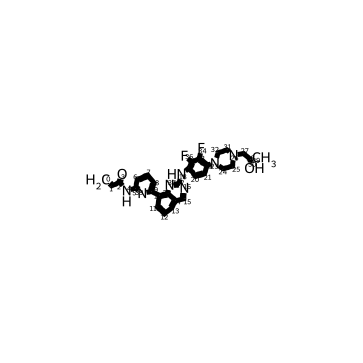 C=CC(=O)Nc1cccc(-c2cccc3cnc(Nc4ccc(N5CCN(CC(C)O)CC5)c(F)c4F)nc23)n1